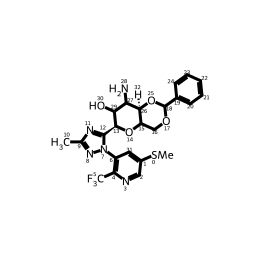 CSc1cnc(C(F)(F)F)c(-n2nc(C)nc2[C@@H]2OC3COC(c4ccccc4)O[C@@H]3C(N)C2O)c1